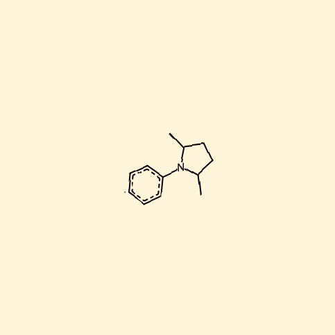 CC1CCC(C)N1c1cc[c]cc1